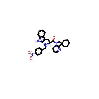 C[C@@](Cc1c[nH]c2ccccc12)(NCc1ccc([N+](=O)[O-])cc1)C(=O)NCC1(c2ccccn2)CCCCC1